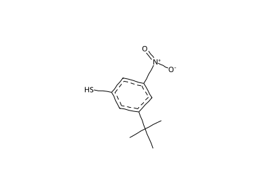 CC(C)(C)c1cc(S)cc([N+](=O)[O-])c1